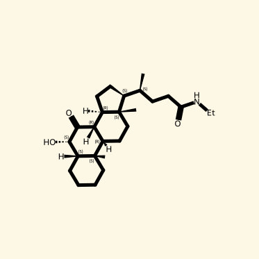 CCNC(=O)CC[C@H](C)[C@@H]1CC[C@@H]2[C@H]3C(=O)[C@@H](O)[C@H]4CCCC[C@@]4(C)[C@@H]3CC[C@]21C